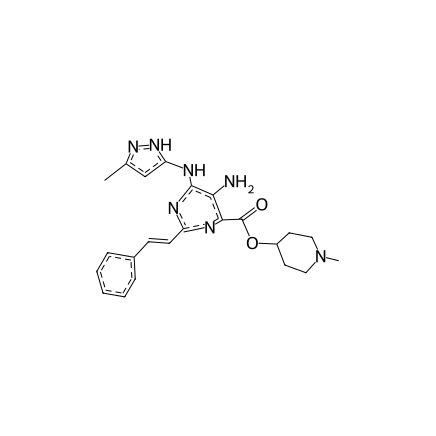 Cc1cc(Nc2nc(C=Cc3ccccc3)nc(C(=O)OC3CCN(C)CC3)c2N)[nH]n1